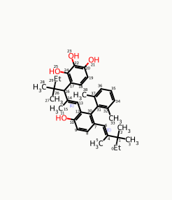 CCC(C)(C)/C(C)=C/c1ccc(O)c(/C=C(\C)C(c2ccc(O)c(O)c2O)C(C)(C)CC)c1-c1c(C)cccc1C